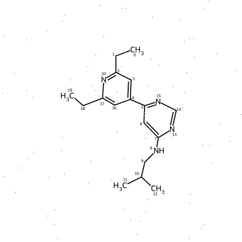 CCc1cc(-c2cc(NCC(C)C)ncn2)cc(CC)n1